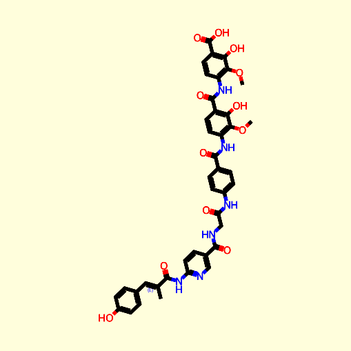 COc1c(NC(=O)c2ccc(NC(=O)c3ccc(NC(=O)CNC(=O)c4ccc(NC(=O)/C(C)=C/c5ccc(O)cc5)nc4)cc3)c(OC)c2O)ccc(C(=O)O)c1O